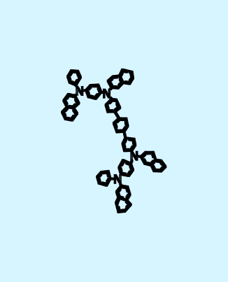 c1ccc(N(c2ccc(N(c3ccc(-c4ccc(-c5ccc(N(c6ccc(N(c7ccccc7)c7ccc8ccccc8c7)cc6)c6ccc7ccccc7c6)cc5)cc4)cc3)c3ccc4ccccc4c3)cc2)c2ccc3ccccc3c2)cc1